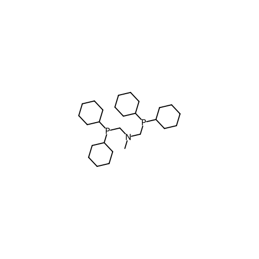 CN(CP(C1CCCCC1)C1CCCCC1)CP(C1CCCCC1)C1CCCCC1